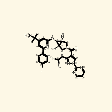 CC(C)(N)c1cc(O[C@@H]2[C@@H]3CN(C(=O)c4cn(-c5ncccn5)nc4CC(F)F)C[C@@H]32)nc(-c2ccc(F)cc2)c1